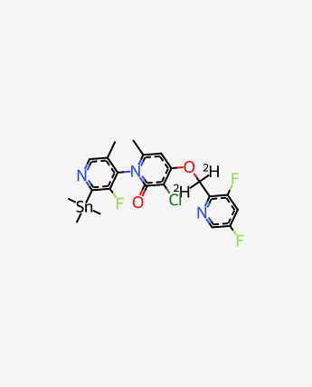 [2H]C([2H])(Oc1cc(C)n(-c2c(C)cn[c]([Sn]([CH3])([CH3])[CH3])c2F)c(=O)c1Cl)c1ncc(F)cc1F